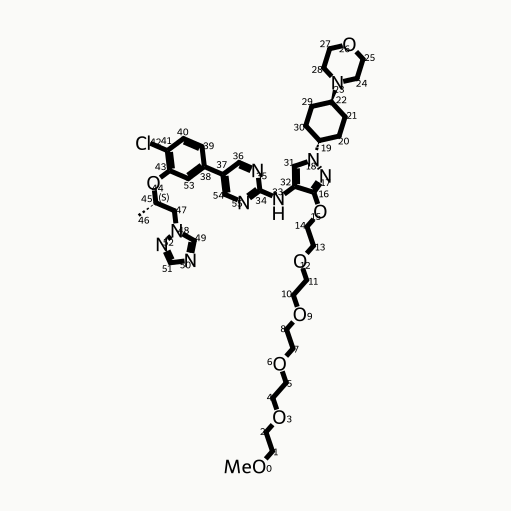 COCCOCCOCCOCCOCCOc1nn([C@H]2CC[C@H](N3CCOCC3)CC2)cc1Nc1ncc(-c2ccc(Cl)c(O[C@@H](C)Cn3cncn3)c2)cn1